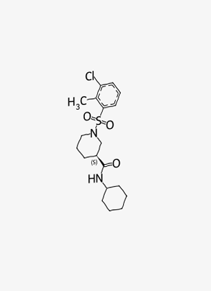 Cc1c(Cl)cccc1S(=O)(=O)N1CCC[C@H](C(=O)NC2CCCCC2)C1